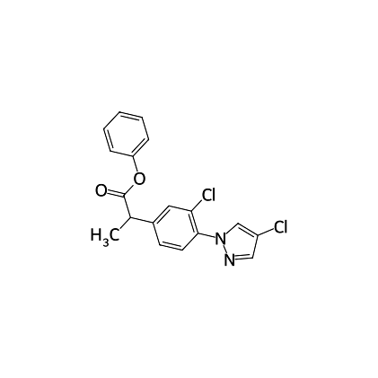 CC(C(=O)Oc1ccccc1)c1ccc(-n2cc(Cl)cn2)c(Cl)c1